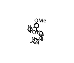 COc1ccc(C(=O)N2CC3CC(Nc4cnc(C)cn4)C2C3)c(-n2nccn2)c1